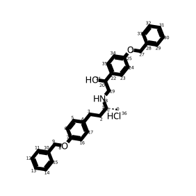 C[C@H](CCc1ccc(OCc2ccccc2)cc1)NCC(O)c1ccc(OCc2ccccc2)cc1.Cl